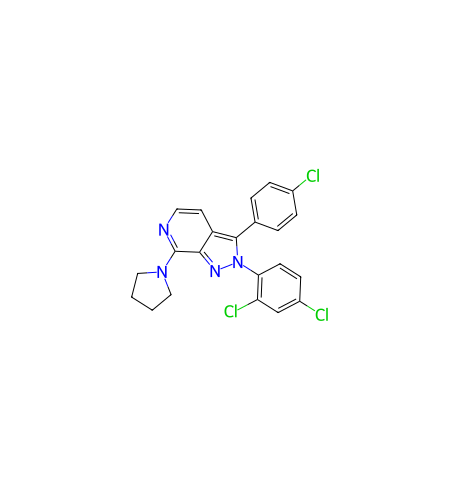 Clc1ccc(-c2c3ccnc(N4CCCC4)c3nn2-c2ccc(Cl)cc2Cl)cc1